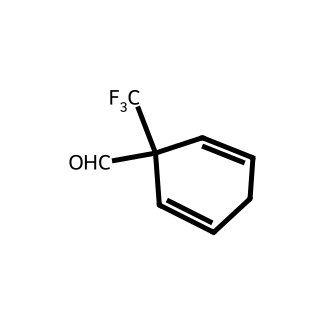 O=CC1(C(F)(F)F)C=CCC=C1